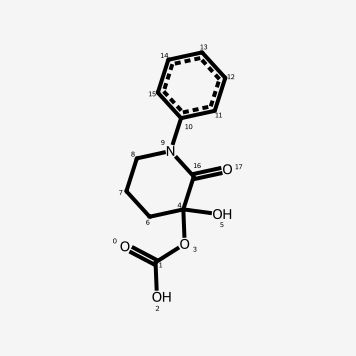 O=C(O)OC1(O)CCCN(c2ccccc2)C1=O